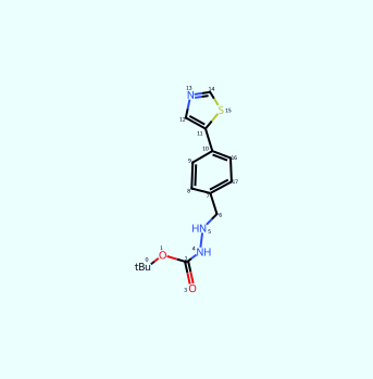 CC(C)(C)OC(=O)NNCc1ccc(-c2cncs2)cc1